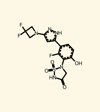 O=C1CN(c2c(O)ccc(-c3cc(N4CC(F)(F)C4)n[nH]3)c2F)S(=O)(=O)N1